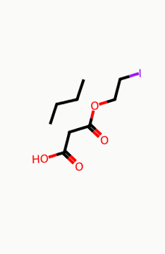 CCCC.O=C(O)CC(=O)OCCI